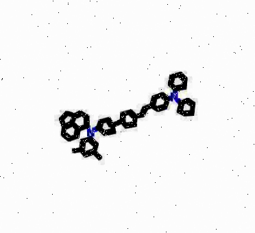 Cc1cc(C)cc(N(c2ccc(-c3ccc(/C=C/c4ccc(N(c5ccccc5)c5ccccc5)cc4)cc3)cc2)c2ccc3c4c(cccc24)CC3)c1